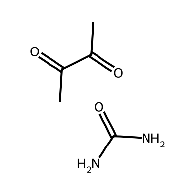 CC(=O)C(C)=O.NC(N)=O